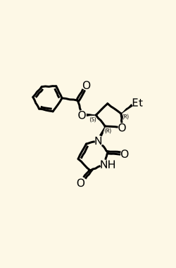 CC[C@@H]1C[C@H](OC(=O)c2ccccc2)[C@H](n2ccc(=O)[nH]c2=O)O1